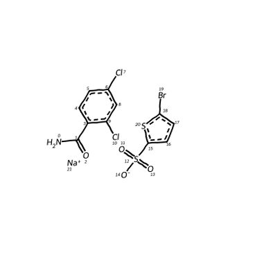 NC(=O)c1ccc(Cl)cc1Cl.O=S(=O)([O-])c1ccc(Br)s1.[Na+]